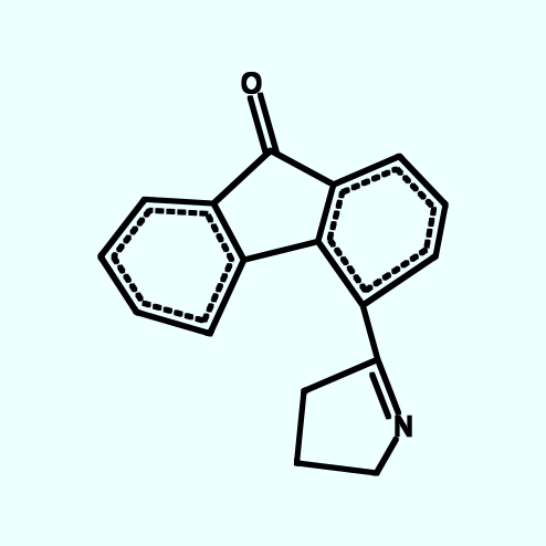 O=C1c2ccccc2-c2c1cccc2C1=NCCC1